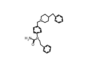 NC(=O)N(CCc1ccccc1)c1ccc(CN2CCC(Cc3ccccc3)CC2)cc1